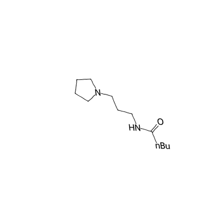 CCCCC(=O)NCCCN1CCCC1